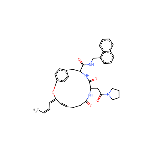 C/C=C\C=C1/C=CCCC(=O)NC(CC(=O)N2CCCC2)C(=O)NC(C(=O)NCc2cccc3ccccc23)Cc2ccc(cc2)O1